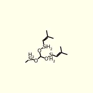 C[SiH2]OC(O[SiH2]C=C(C)C)O[SiH2]C=C(C)C